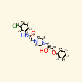 O=C(CN1CCN(C[C@@H](O)COc2ccccc2)CC1)Nc1cccc(Cl)c1